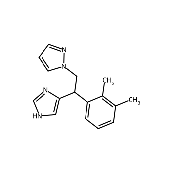 Cc1cccc(C(Cn2cccn2)c2c[nH]cn2)c1C